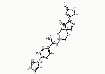 O=C1C=C(N2C=CC3(CCN(CC(O)c4cnc(-n5cnnn5)cn4)CC3)C2=O)CO1